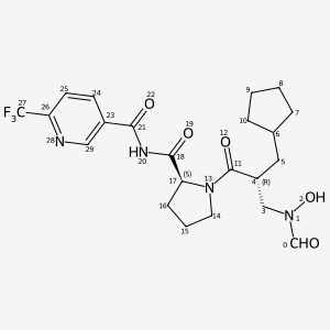 O=CN(O)C[C@@H](CC1CCCC1)C(=O)N1CCC[C@H]1C(=O)NC(=O)c1ccc(C(F)(F)F)nc1